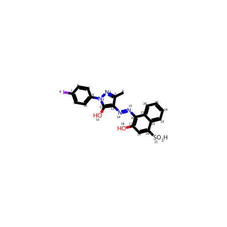 Cc1nn(-c2ccc(I)cc2)c(O)c1N=Nc1c(O)cc(S(=O)(=O)O)c2ccccc12